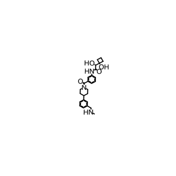 CNCc1cccc(C2CCN(C(=O)c3cccc(NC(=O)C(O)C4(O)CCC4)c3)CC2)c1